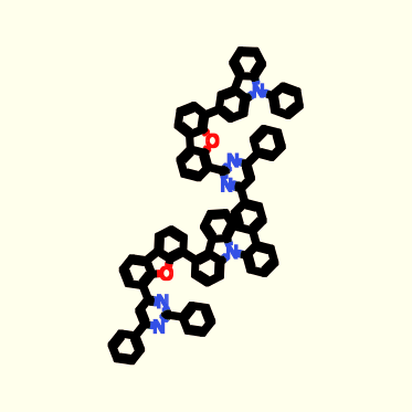 c1ccc(-c2cc(-c3cccc4c3oc3c(-c5cccc6c5c5ccccc5n6-c5ccccc5-c5ccc(-c6cc(-c7ccccc7)nc(-c7cccc8c7oc7c(-c9ccc%10c(c9)c9ccccc9n%10-c9ccccc9)cccc78)n6)cc5)cccc34)nc(-c3ccccc3)n2)cc1